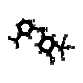 CC(C)c1ccnc(Nc2ccc(Cl)c(C(F)(F)F)c2)n1